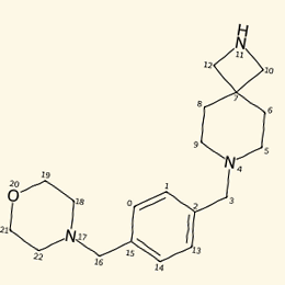 c1cc(CN2CCC3(CC2)CNC3)ccc1CN1CCOCC1